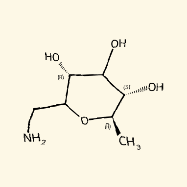 C[C@H]1OC(CN)[C@H](O)C(O)[C@@H]1O